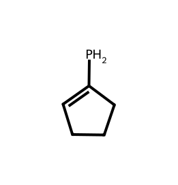 PC1=CCCC1